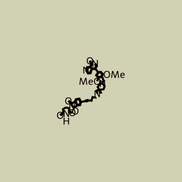 COc1cc(-c2cn(C)c(=O)c3cnccc23)cc(OC)c1CN1CCC2(CC1)CN(CCCC#Cc1ccc3c(c1)C(=O)N(C1CCC(=O)NC1=O)C3=O)C2